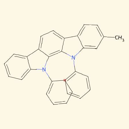 Cc1ccc2c3ccc4c5ccccc5n(C5=CC=CCC5)c4c3n(-c3ccccc3)c2c1